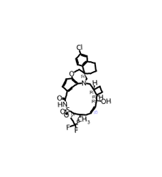 C[C@H]1C/C=C\[C@H](O)[C@@H]2CC[C@H]2CN2C[C@@]3(CCCc4cc(Cl)ccc43)COc3ccc(cc32)C(=O)NS(=O)(=O)[C@H]1CC(F)(F)F